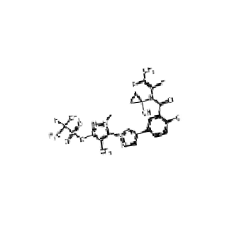 Cn1nc(OS(=O)(=O)C(F)(C(F)(F)F)C(F)(F)F)c(C(F)(F)F)c1-n1cc(-c2ccc(Cl)c(C(=O)N(/C(F)=C(\F)C(F)(F)F)C3(C#N)CC3)c2)cn1